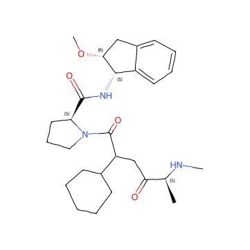 CN[C@@H](C)C(=O)CC(C(=O)N1CCC[C@H]1C(=O)N[C@H]1c2ccccc2C[C@H]1OC)C1CCCCC1